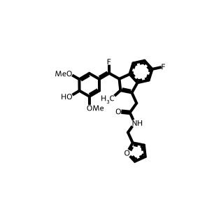 COC1=CC(=C(F)C2C(C)=C(CC(=O)NCc3ccco3)c3cc(F)ccc32)C=C(OC)C1O